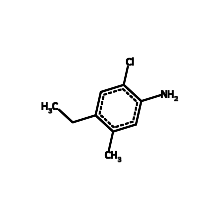 CCc1cc(Cl)c(N)cc1C